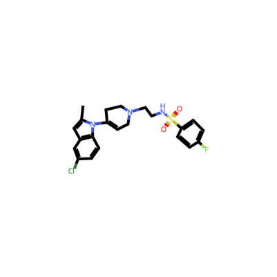 Cc1cc2cc(Cl)ccc2n1C1=CCN(CCNS(=O)(=O)c2ccc(F)cc2)CC1